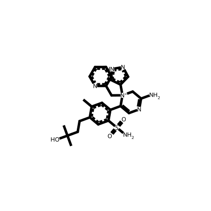 Cc1cc(C2=CN=C(N)C[N+]2(Cc2ccccn2)c2cn[nH]c2)c(S(N)(=O)=O)cc1CCC(C)(C)O